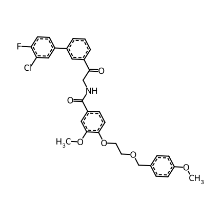 COc1ccc(COCCOc2ccc(C(=O)NCC(=O)c3cccc(-c4ccc(F)c(Cl)c4)c3)cc2OC)cc1